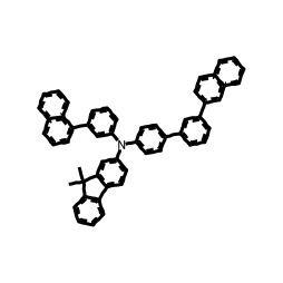 CC1(C)c2ccccc2-c2ccc(N(c3ccc(-c4cccc(-c5ccc6ccccc6c5)c4)cc3)c3cccc(-c4cccc5ccccc45)c3)cc21